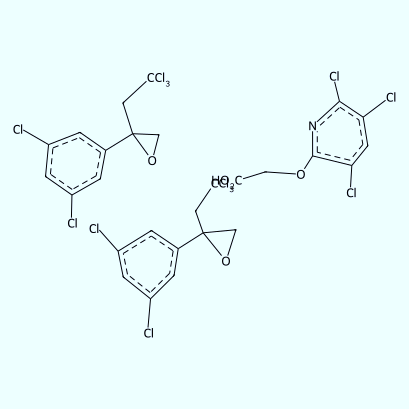 Clc1cc(Cl)cc(C2(CC(Cl)(Cl)Cl)CO2)c1.Clc1cc(Cl)cc(C2(CC(Cl)(Cl)Cl)CO2)c1.O=C(O)COc1nc(Cl)c(Cl)cc1Cl